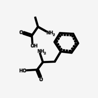 CC(N)C(=O)O.NC(Cc1ccccc1)C(=O)O